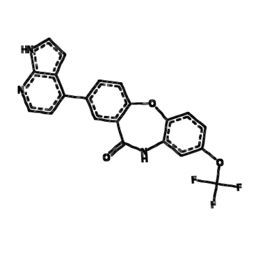 O=C1Nc2cc(OC(F)(F)F)ccc2Oc2ccc(-c3ccnc4[nH]ccc34)cc21